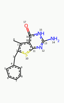 Cc1c(Cc2ccccc2)sc2nc(N)[nH]c(=O)c12